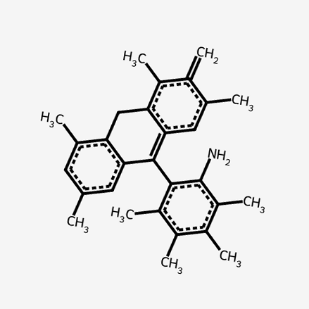 C=c1c(C)cc2c(c1C)Cc1c(C)cc(C)cc1C=2c1c(C)c(C)c(C)c(C)c1N